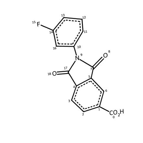 O=C(O)c1ccc2c(c1)C(=O)N(c1cccc(F)c1)C2=O